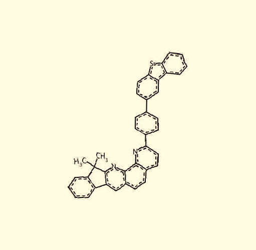 CC1(C)c2ccccc2-c2cc3ccc4ccc(-c5ccc(-c6ccc7sc8ccccc8c7c6)cc5)nc4c3nc21